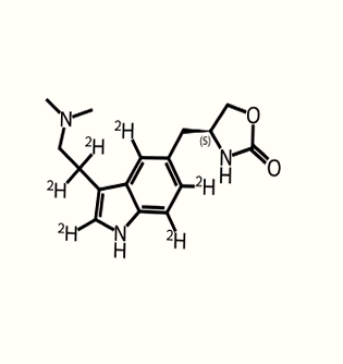 [2H]c1[nH]c2c([2H])c([2H])c(C[C@H]3COC(=O)N3)c([2H])c2c1C([2H])([2H])CN(C)C